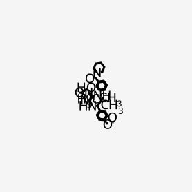 CC(C)(C)C(Nc1n[s+]([O-])nc1Nc1cccc(C(=O)N2CCCCC2)c1O)c1ccc2c(c1)OCO2